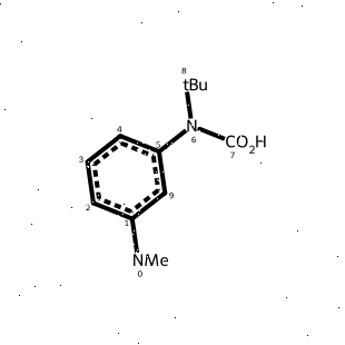 CNc1cccc(N(C(=O)O)C(C)(C)C)c1